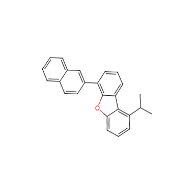 CC(C)c1cccc2oc3c(-c4ccc5ccccc5c4)cccc3c12